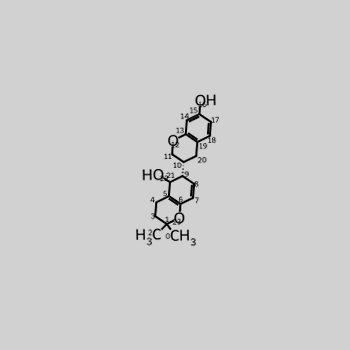 CC1(C)CCC2=C(C=CC([C@@H]3COc4cc(O)ccc4C3)C2O)O1